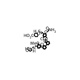 COc1cc(-c2cccc(-c3cccc4c3cnn4Cc3cc(OCC(N)=O)c(CN(C)C[C@H]4CC[C@H](C(=O)O)CC4)cc3Cl)c2Cl)ccc1CNC[C@@H]1CCC(=O)N1